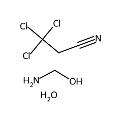 N#CCC(Cl)(Cl)Cl.NCO.O